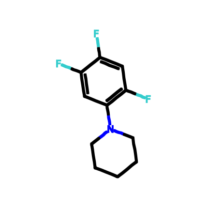 Fc1cc(F)c(N2CCCCC2)cc1F